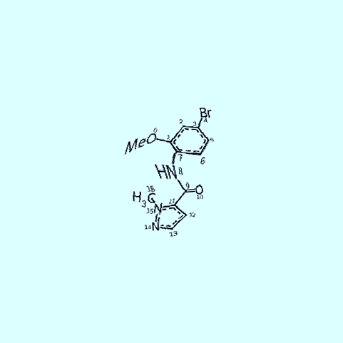 COc1cc(Br)ccc1NC(=O)c1ccnn1C